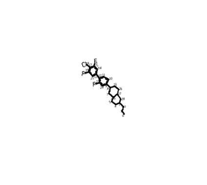 CCCC1CCC2CC(c3ccc(-c4cc(F)c(Cl)c(F)c4)c(F)c3)CCC2C1